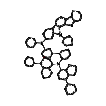 c1ccc(-c2ccc(N(c3ccccc3-c3cccc(N(c4ccccc4)c4ccc5c6ccc7c8ccccc8sc7c6n(-c6ccccc6)c5c4)c3)c3ccc(-c4ccccc4)c4ccccc34)c3ccccc23)cc1